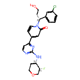 O=c1cc(-c2ccnc(N[C@H]3CCOC[C@H]3F)n2)ccn1[C@H](CCO)c1cccc(Cl)c1